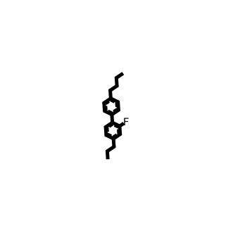 CCCCc1ccc(-c2ccc(CCC)cc2F)cc1